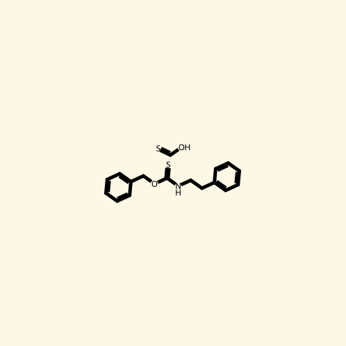 OC=S.S=C(NCCc1ccccc1)OCc1ccccc1